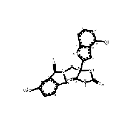 COc1ccc2c(c1)C(=O)N(C[C@@]1(c3cc4c(O)nccc4o3)NC(=O)NC1=O)C2